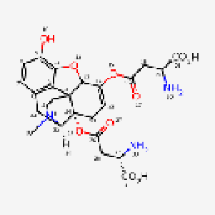 CN1CCC23c4c5ccc(O)c4OC2C(OC(=O)C[C@H](N)C(=O)O)=CC[C@@]3(OC(=O)C[C@H](N)C(=O)O)[C@H]1C5